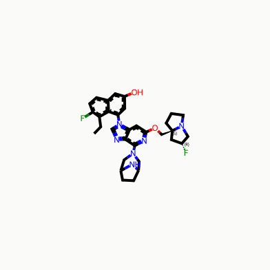 CCc1c(F)ccc2cc(O)cc(-n3cnc4c(N5CC6CCC(C5)N6)nc(OC[C@@]56CCCN5C[C@H](F)C6)cc43)c12